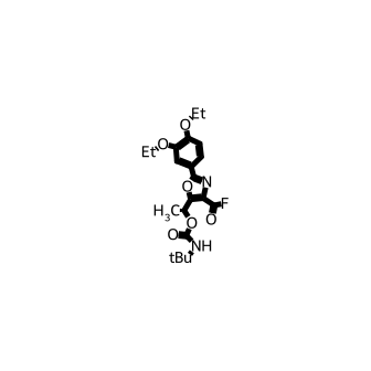 CCOc1ccc(-c2nc(C(=O)F)c([C@H](C)OC(=O)NC(C)(C)C)o2)cc1OCC